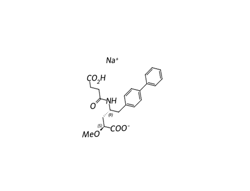 CO[C@@H](C[C@@H](Cc1ccc(-c2ccccc2)cc1)NC(=O)CCC(=O)O)C(=O)[O-].[Na+]